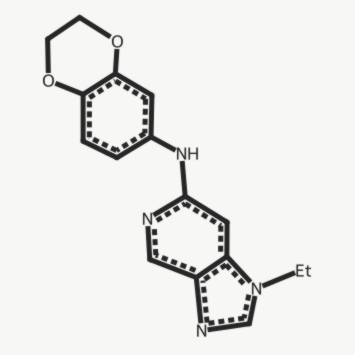 CCn1cnc2cnc(Nc3ccc4c(c3)OCCO4)cc21